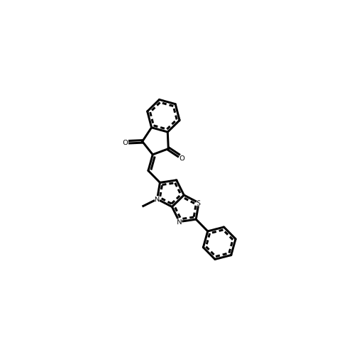 Cn1c(C=C2C(=O)c3ccccc3C2=O)cc2sc(-c3ccccc3)nc21